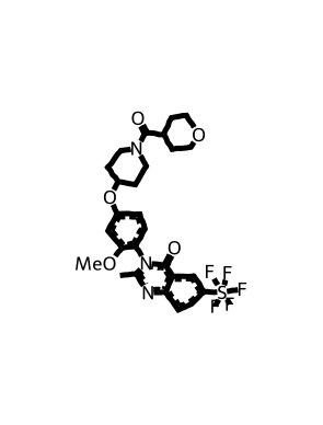 COc1cc(OC2CCN(C(=O)C3CCOCC3)CC2)ccc1-n1c(C)nc2ccc(S(F)(F)(F)(F)F)cc2c1=O